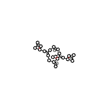 c1cc(-c2ccc(N(c3ccc(-c4ccc(-c5ccccc5-n5c6ccccc6c6ccccc65)cc4)cc3)c3ccc(-c4cccc5c4oc4ccccc45)cc3)cc2)cc(-c2cc(-c3ccc(N(c4ccc(-c5ccc(-c6ccccc6-n6c7ccccc7c7ccccc76)cc5)cc4)c4ccccc4-c4ccc5ccccc5c4)cc3)c3oc4ccccc4c3c2)c1